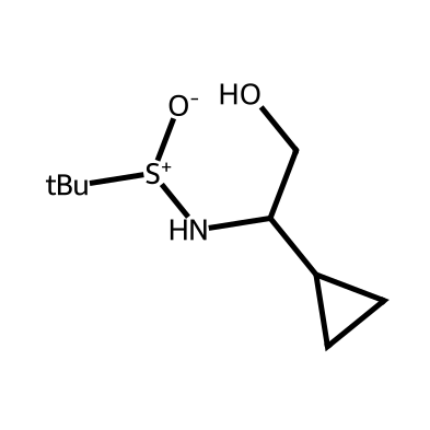 CC(C)(C)[S+]([O-])NC(CO)C1CC1